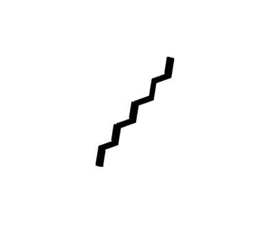 [CH]=CC=CC=CCCC=C